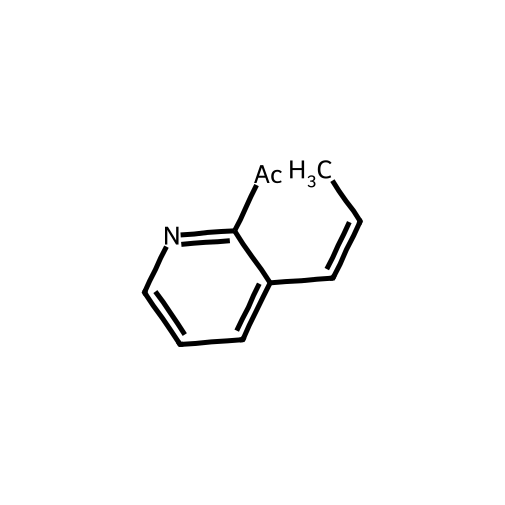 C/C=C\c1cccnc1C(C)=O